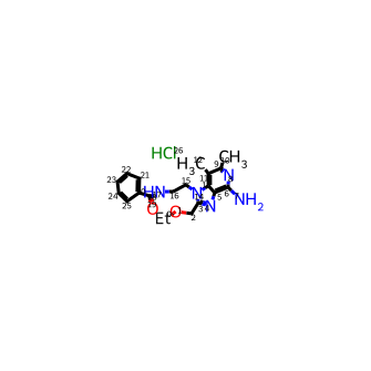 CCOCc1nc2c(N)nc(C)c(C)c2n1CCNC(=O)c1ccccc1.Cl